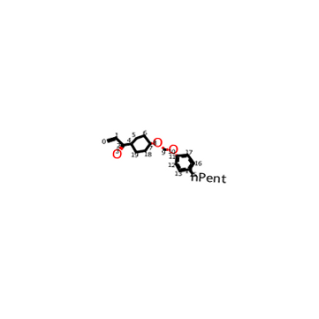 C=CC(=O)C1CCC(OCOc2ccc(CCCCC)cc2)CC1